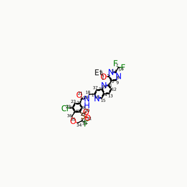 CCOc1nc(C(F)F)ncc1-c1ccc2cnc(CNC(=O)c3cc(Cl)c4c(c3)S(=O)(=O)[C@@H](F)COC4)cc2n1